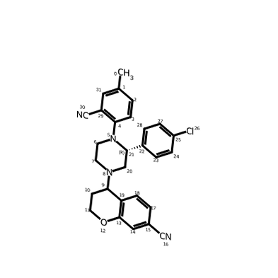 Cc1ccc(N2CCN(C3CCOc4cc(C#N)ccc43)C[C@H]2c2ccc(Cl)cc2)c(C#N)c1